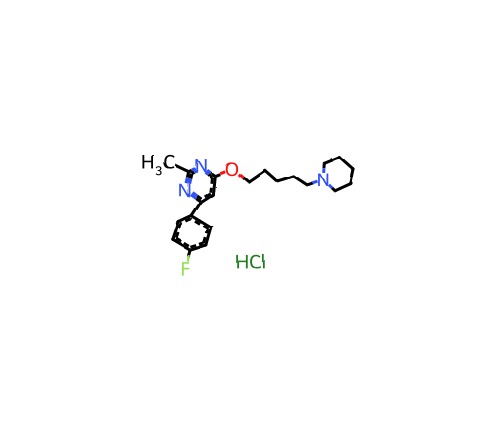 Cc1nc(OCCCCCN2CCCCC2)cc(-c2ccc(F)cc2)n1.Cl